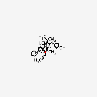 CCCCC(=O)/C(C)=C(/N=C(N[C@H]1CC[C@H](O)CC1)\C(CC)=C(/C)CC)Nc1ccc(N2CCCCC2)nc1